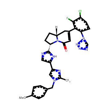 COc1ccc(Cn2cc(-c3cnc([C@@H]4CC[C@@H]5CC(c6c(-n7cnnn7)ccc(Cl)c6F)=CC(=O)N54)[nH]3)nc2C(F)(F)F)cc1